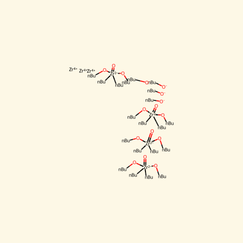 CCCC[O-].CCCC[O-].CCCC[O-].CCCC[O-].CCCC[O][Zr-2](=[O])([CH2]CCC)([CH2]CCC)[O]CCCC.CCCC[O][Zr-2](=[O])([CH2]CCC)([CH2]CCC)[O]CCCC.CCCC[O][Zr-2](=[O])([CH2]CCC)([CH2]CCC)[O]CCCC.CCCC[O][Zr-2](=[O])([CH2]CCC)([CH2]CCC)[O]CCCC.[Zr+4].[Zr+4].[Zr+4]